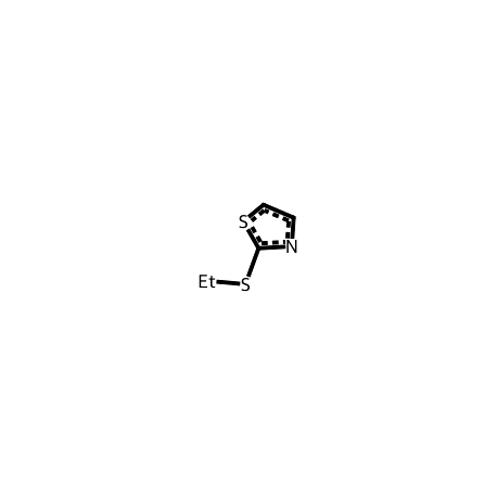 [CH2]CSc1nccs1